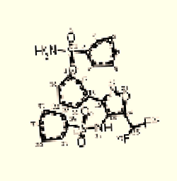 NS(=O)(=O)c1ccccc1.O=S(=O)(Nc1c(-c2ccccc2)noc1C(F)F)c1ccccc1